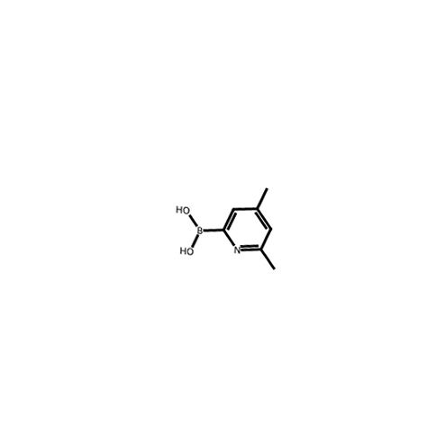 Cc1cc(C)nc(B(O)O)c1